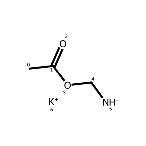 CC(=O)OC[NH-].[K+]